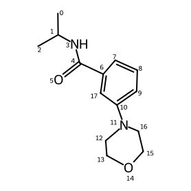 CC(C)NC(=O)c1cccc(N2CCOCC2)c1